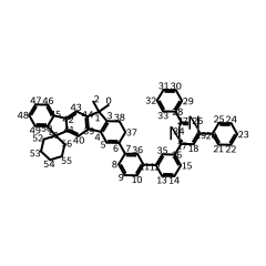 CC1(C)C2=C(C=C(c3cccc(-c4cccc(-c5cc(-c6ccccc6)nc(-c6ccccc6)n5)c4)c3)CC2)c2cc3c(cc21)-c1ccccc1C31CCCCC1